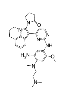 COc1cc(N(C)CCN(C)C)c(N)cc1Nc1nccc(-c2c(N3CCCC3=O)n3c4c(cccc24)CCC3)n1